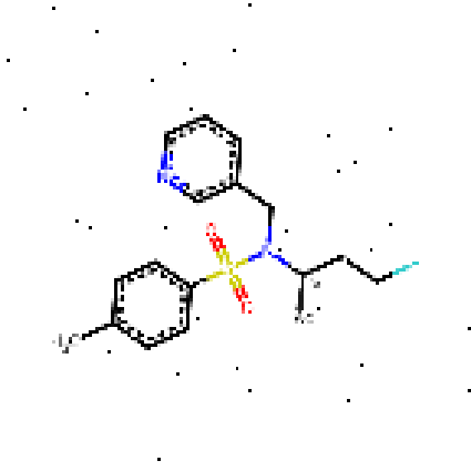 CC(=O)[C@H](CCF)N(Cc1cccnc1)S(=O)(=O)c1ccc(C)cc1